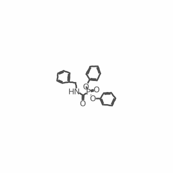 O=C(NCc1ccccc1)P(=O)(Oc1ccccc1)Oc1ccccc1